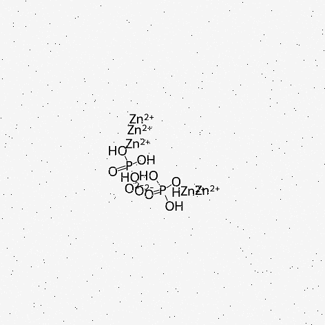 O=P(O)(O)O.O=P(O)(O)O.[O-2].[O-2].[Zn+2].[Zn+2].[Zn+2].[Zn+2].[Zn+2]